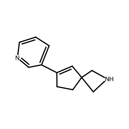 C1=C(c2cccnc2)CCC12CNC2